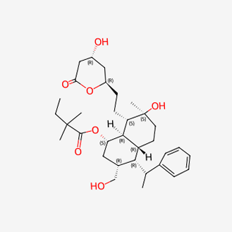 CCC(C)(C)C(=O)O[C@H]1C[C@@H](CO)[C@@H](C(C)c2ccccc2)[C@H]2CC[C@](C)(O)[C@@H](CC[C@@H]3C[C@@H](O)CC(=O)O3)[C@@H]21